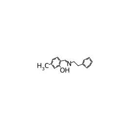 Cc1ccc(/C=N/CCc2ccccc2)c(O)c1